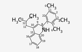 Cc1cc(C)c(C)c(C2C=C(CC(C)C)c3ccccc3N2)c1